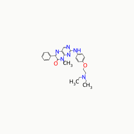 CCN(CC)CCOc1ccc(Nc2ncc3nc(-c4ccccc4)c(=O)n(C)c3n2)cc1